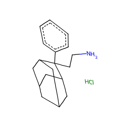 Cl.NCCC1(c2ccccc2)C2CC3CC(C2)CC1C3